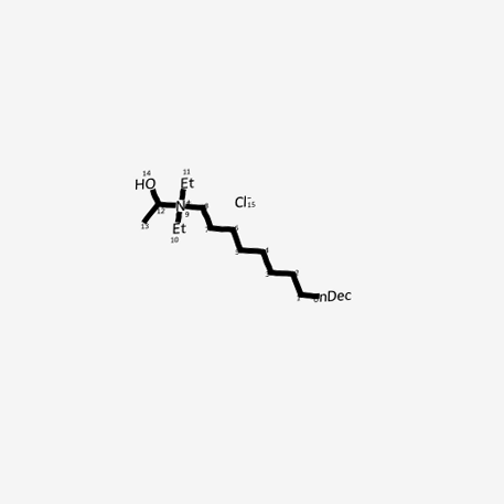 CCCCCCCCCCCCCCCCCC[N+](CC)(CC)C(C)O.[Cl-]